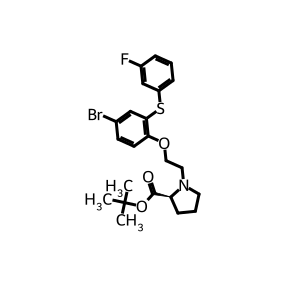 CC(C)(C)OC(=O)[C@@H]1CCCN1CCOc1ccc(Br)cc1Sc1cccc(F)c1